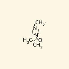 [CH2]CN1CCN(C(=O)C(C)C)CC1